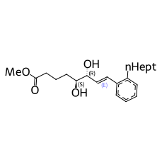 CCCCCCCc1ccccc1/C=C/[C@@H](O)[C@@H](O)CCCC(=O)OC